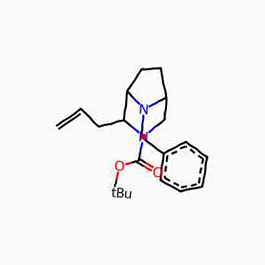 C=CCC1C2CCC(CN1C(=O)OC(C)(C)C)N2Cc1ccccc1